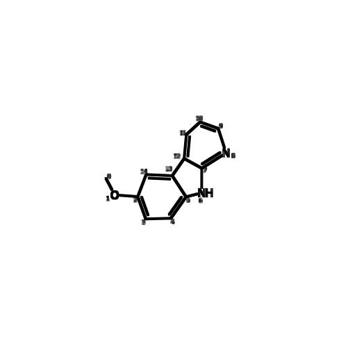 COc1ccc2[nH]c3ncccc3c2c1